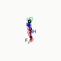 O=C(COC1CC(OC(F)(F)F)C1)N[C@@H]1CCC(c2cnn(-c3ccc(Cl)c(F)c3)n2)OC1